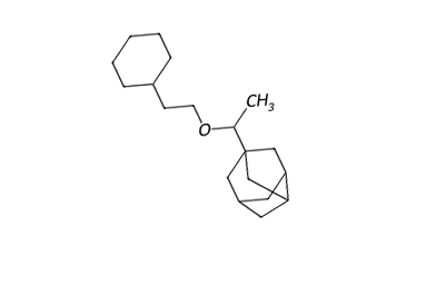 CC(OCCC1CCCCC1)C12CC3CC(C1)C(C3)C2